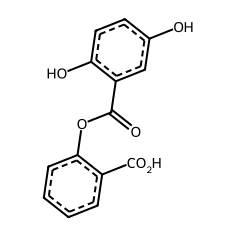 O=C(Oc1ccccc1C(=O)O)c1cc(O)ccc1O